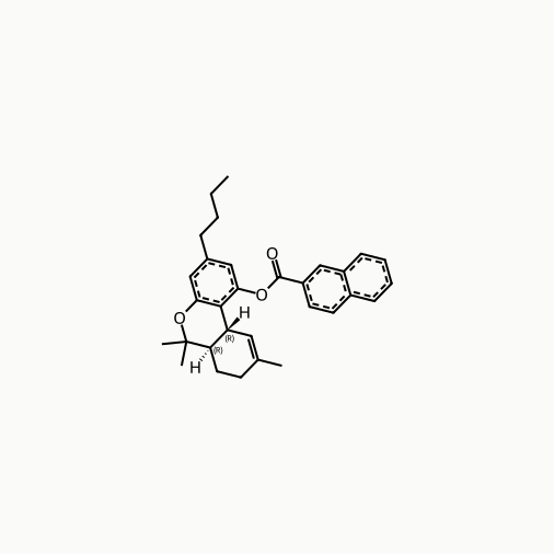 CCCCc1cc(OC(=O)c2ccc3ccccc3c2)c2c(c1)OC(C)(C)[C@@H]1CCC(C)=C[C@@H]21